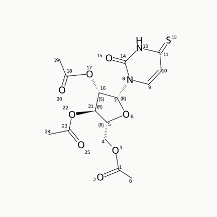 CC(=O)OC[C@H]1O[C@@H](n2ccc(=S)[nH]c2=O)[C@@H](OC(C)=O)[C@@H]1OC(C)=O